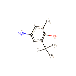 CCC(C)(C)c1cc(N)cc(C)c1O